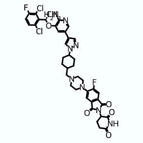 C[C@@H](Oc1cc(-c2cnn(C3CCC(CN4CCN(c5cc6c(cc5F)C(=O)N(C5CCC(=O)NC5=O)C6=O)CC4)CC3)c2)cnc1N)c1c(Cl)ccc(F)c1Cl